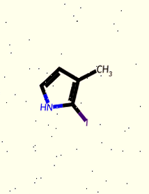 Cc1cc[nH]c1I